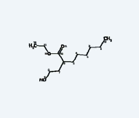 CCCCCCC(CCO)C(=O)OCC